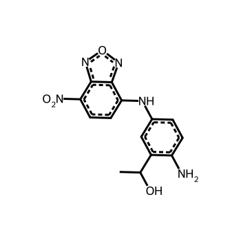 CC(O)c1cc(Nc2ccc([N+](=O)[O-])c3nonc23)ccc1N